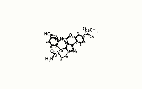 CS(=O)(=O)c1ccc(-c2nn3c(c2C(N)=O)C(c2ccc(C#N)cc2)N(C(N)=O)CC3)cc1